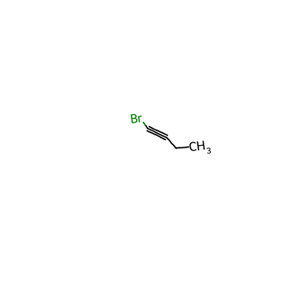 CCC#CBr